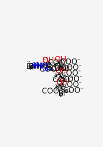 O=C([O-])CC(O)(CC(=O)[O-])C(=O)[O-].O=C([O-])CC(O)(CC(=O)[O-])C(=O)[O-].O=C([O-])CC(O)(CC(=O)[O-])C(=O)[O-].O=C([O-])CC(O)(CC(=O)[O-])C(=O)[O-].[Bi+3].[Bi+3].[Bi+3].[NH4+].[NH4+].[NH4+]